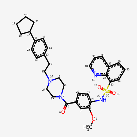 COc1cc(C(=O)N2CCN(CCc3ccc(C4CCCC4)cc3)CC2)ccc1NS(=O)(=O)c1cccc2cccnc12